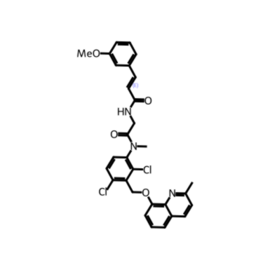 COc1cccc(/C=C/C(=O)NCC(=O)N(C)c2ccc(Cl)c(COc3cccc4ccc(C)nc34)c2Cl)c1